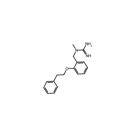 CN(Cc1ccccc1OCCc1ccccc1)C(=N)N